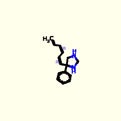 C=C/C=C\C=C/C1(c2ccccc2)CNCN1